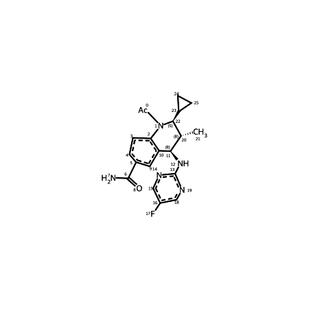 CC(=O)N1c2ccc(C(N)=O)cc2[C@H](Nc2ncc(F)cn2)[C@@H](C)[C@@H]1C1CC1